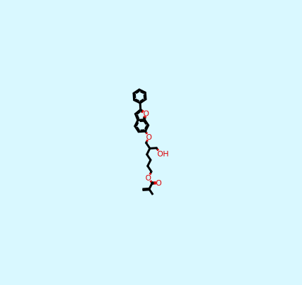 C=C(C)C(=O)OCCCCC(CO)COc1ccc2cc(-c3ccccc3)oc2c1